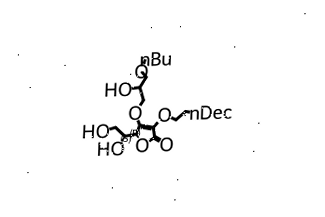 CCCCCCCCCCCCOC1=C(OCC(O)COCCCC)[C@@H]([C@@H](O)CO)OC1=O